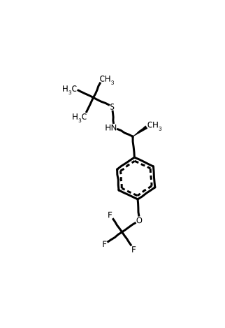 C[C@H](NSC(C)(C)C)c1ccc(OC(F)(F)F)cc1